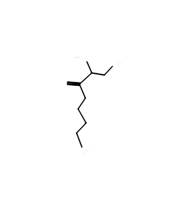 CCCCCC(=O)C(C)CC